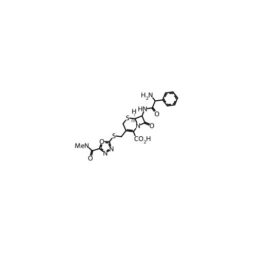 CNC(=O)c1nnc(SCC2=C(C(=O)O)N3C(=O)C(NC(=O)C(N)c4ccccc4)[C@@H]3SC2)o1